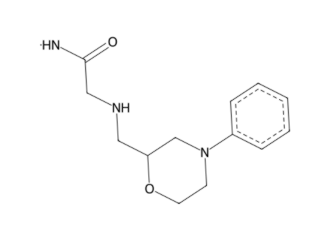 [NH]C(=O)CNCC1CN(c2ccccc2)CCO1